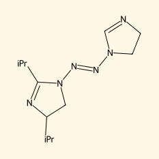 CC(C)C1=NC(C(C)C)CN1N=NN1C=NCC1